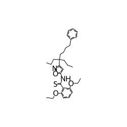 CCCC(CCC)(CCCCc1ccccc1)c1cc(NC(=S)c2c(OCC)cccc2OCC)on1